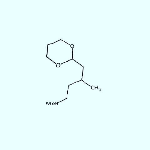 CNCCC(C)CC1OCCCO1